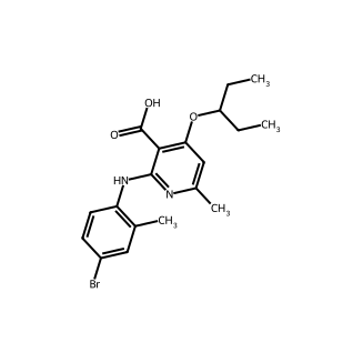 CCC(CC)Oc1cc(C)nc(Nc2ccc(Br)cc2C)c1C(=O)O